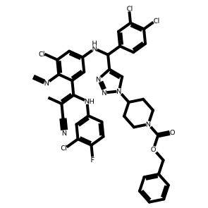 C=Nc1c(Cl)cc(NC(c2ccc(Cl)c(Cl)c2)c2cn(C3CCN(C(=O)OCc4ccccc4)CC3)nn2)cc1/C(Nc1ccc(F)c(Cl)c1)=C(\C)C#N